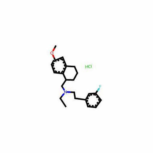 CCN(CCc1cccc(F)c1)CC1CCCc2cc(OC)ccc21.Cl